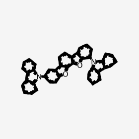 c1cc(-n2c3ccccc3c3ccccc32)c2oc3c(ccc4c5cc(-n6c7ccccc7c7ccccc76)ccc5oc43)c2c1